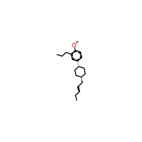 CCC=CC[C@H]1CC[C@H](c2ccc(OC)c(CCC)c2)CC1